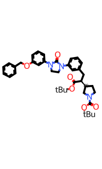 CC(C)(C)OC(=O)C(Cc1cccc(N2CCN(c3cccc(OCc4ccccc4)c3)C2=O)c1)[C@H]1CCN(C(=O)OC(C)(C)C)C1